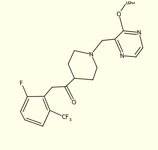 CC(C)(C)Oc1nccnc1CN1CCC(C(=O)Cc2c(F)cccc2C(F)(F)F)CC1